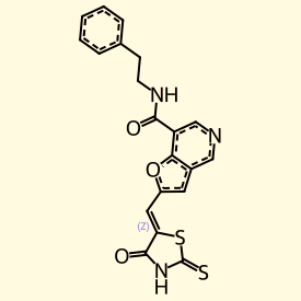 O=C1NC(=S)S/C1=C\c1cc2cncc(C(=O)NCCc3ccccc3)c2o1